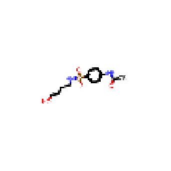 O=C(Nc1ccc(S(=O)(=O)NCCCCO)cc1)C(F)(F)F